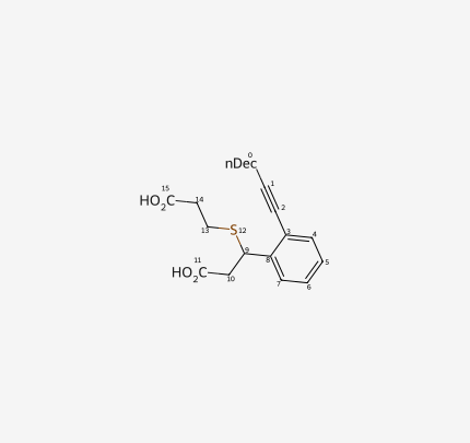 CCCCCCCCCCC#Cc1ccccc1C(CC(=O)O)SCCC(=O)O